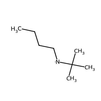 CCCC[N]C(C)(C)C